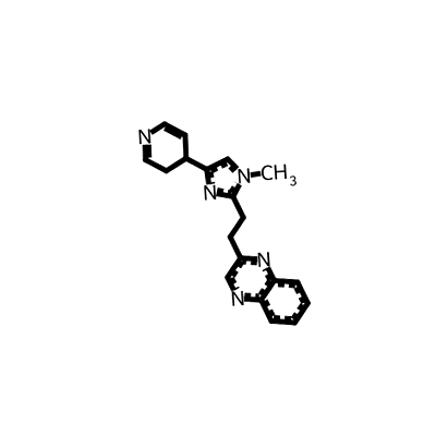 Cn1cc(C2C=CN=CC2)nc1CCc1cnc2ccccc2n1